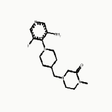 CN1CCN(CC2CCN(c3c(N)cncc3F)CC2)CC1=O